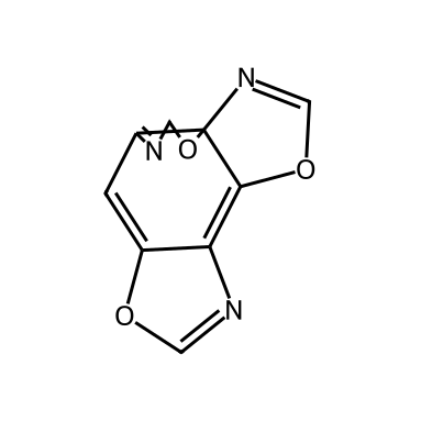 C1=NC23OCN=C2C=c2ocnc2=C3O1